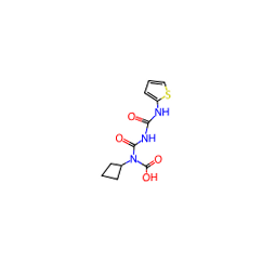 O=C(NC(=O)N(C(=O)O)C1CCC1)Nc1cccs1